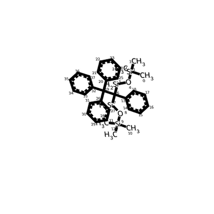 C[Si](C)(C)O[SiH2]C([SiH2]O[Si](C)(C)C)(c1ccccc1)C(c1ccccc1)(c1ccccc1)c1ccccc1